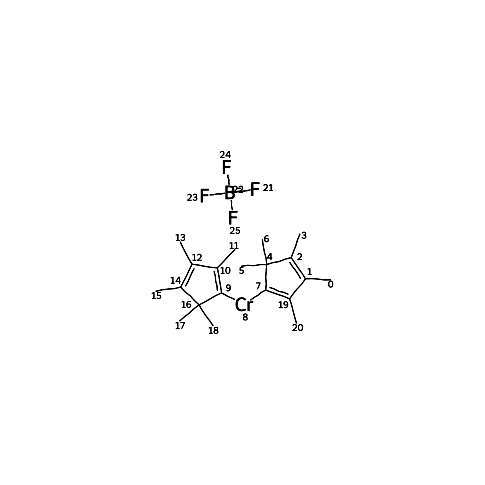 CC1=C(C)C(C)(C)[C]([Cr][C]2=C(C)C(C)=C(C)C2(C)C)=C1C.F[B-](F)(F)F